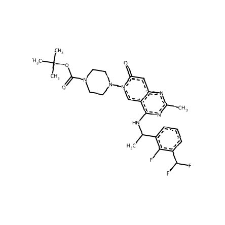 Cc1nc(NC(C)c2cccc(C(F)F)c2F)c2cn(N3CCN(C(=O)OC(C)(C)C)CC3)c(=O)cc2n1